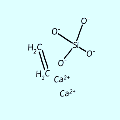 C=C.[Ca+2].[Ca+2].[O-][Si]([O-])([O-])[O-]